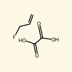 C=CCF.O=C(O)C(=O)O